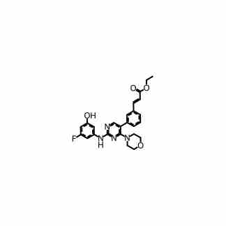 CCOC(=O)/C=C/c1cccc(-c2cnc(Nc3cc(O)cc(F)c3)nc2N2CCOCC2)c1